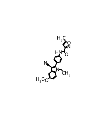 CCn1c(-c2ccc(NC(=O)c3cc(C)on3)cc2)c(C#N)c2cc(OC)ccc21